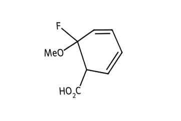 COC1(F)C=CC=CC1C(=O)O